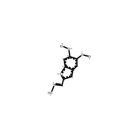 CCOc1cc2cc(C=NO)sc2cc1OCC